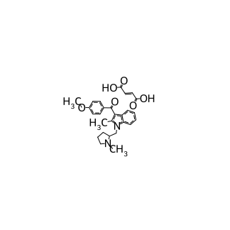 COc1ccc(C(=O)c2c(C)n(CC3CCCN3C)c3ccccc23)cc1.O=C(O)C=CC(=O)O